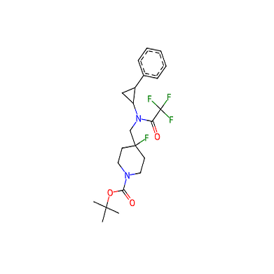 CC(C)(C)OC(=O)N1CCC(F)(CN(C(=O)C(F)(F)F)C2CC2c2ccccc2)CC1